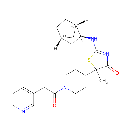 CC1(C2CCN(C(=O)Cc3cccnc3)CC2)SC(N[C@H]2C[C@@H]3CC[C@H]2C3)=NC1=O